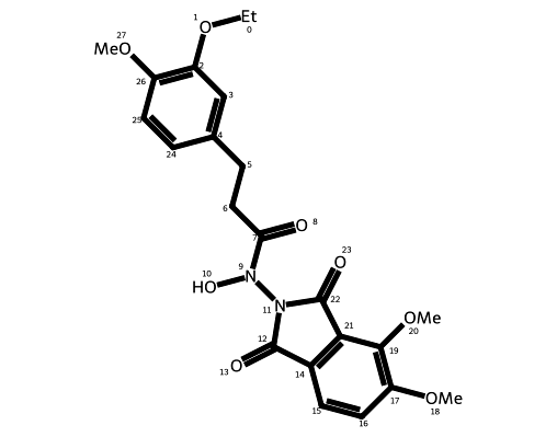 CCOc1cc(CCC(=O)N(O)N2C(=O)c3ccc(OC)c(OC)c3C2=O)ccc1OC